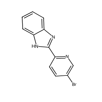 Brc1ccc(-c2nc3ccccc3[nH]2)nc1